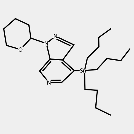 CCC[CH2][Sn]([CH2]CCC)([CH2]CCC)[c]1cncc2c1cnn2C1CCCCO1